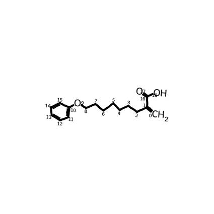 C=C(CCCCCCCOc1ccccc1)C(=O)O